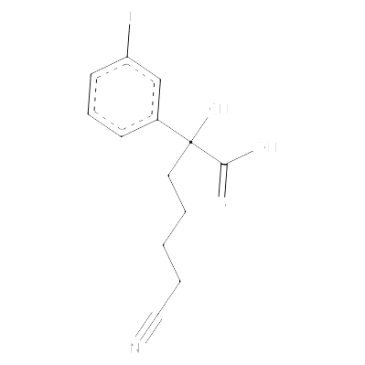 CC(CCCCC#N)(C(=O)O)c1cccc(I)c1